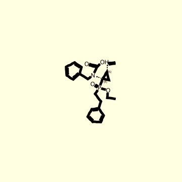 C=C[C@@H]1C[C@@]1(N(Cc1ccccc1)C(=O)O)P(=O)(CCc1ccccc1)OCC